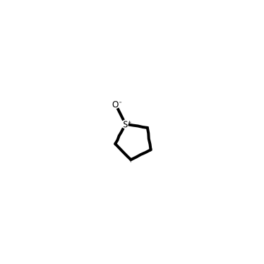 [O-][S+]1C[CH]CC1